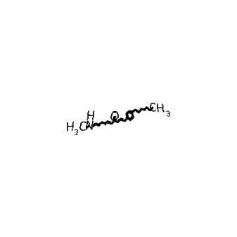 CCCCCCCc1ccc(CCCC(=O)CCCCCCCNCC)cc1